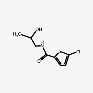 CC(O)CNC(=O)c1ccc(Cl)s1